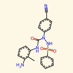 Cc1c(N)cccc1NC(=O)N(NS(=O)(=O)c1ccccc1)c1ccc(C#N)cc1